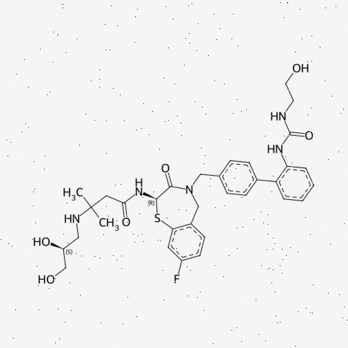 CC(C)(CC(=O)N[C@@H]1Sc2cc(F)ccc2CN(Cc2ccc(-c3ccccc3NC(=O)NCCO)cc2)C1=O)NC[C@H](O)CO